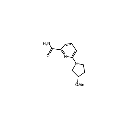 CO[C@H]1CCN(c2cc[c]c(C(N)=O)n2)C1